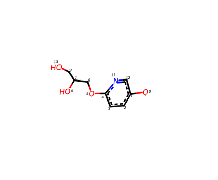 [O]c1ccc(OCC(O)CO)nc1